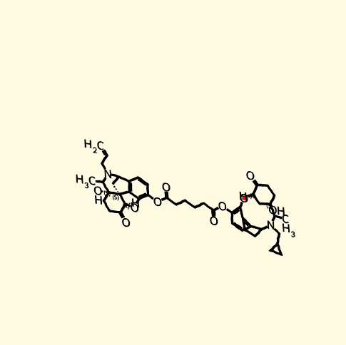 C=CCN1C2C[C@]34c5c2ccc(OC(=O)CCCCC(=O)Oc2ccc6c7c2O[C@@H]2C[C@@](O)(CCC2=O)C(C)N(CC2CC2)C6CC7)c5O[C@H]3C(=O)CC[C@@]4(O)C1C